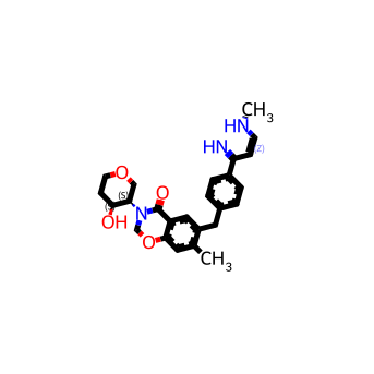 CN/C=C\C(=N)c1ccc(Cc2cc3c(cc2C)OCN([C@H]2COCC[C@@H]2O)C3=O)cc1